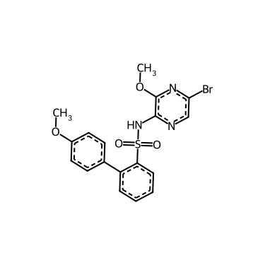 COc1ccc(-c2ccccc2S(=O)(=O)Nc2ncc(Br)nc2OC)cc1